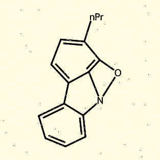 CCCc1ccc2c3ccccc3n3oc1c23